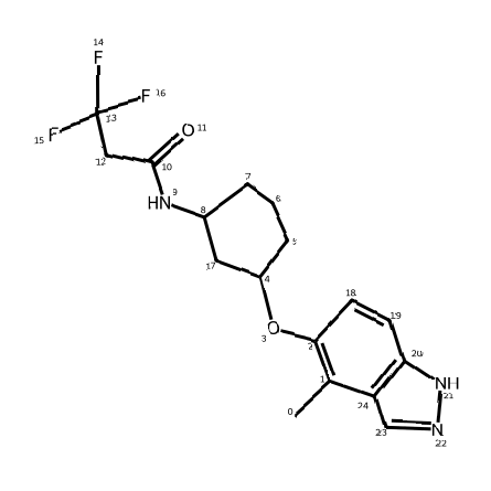 Cc1c(OC2CCCC(NC(=O)CC(F)(F)F)C2)ccc2[nH]ncc12